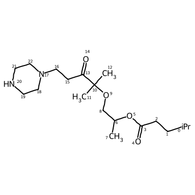 CC(C)CCC(=O)OC(C)COC(C)(C)C(=O)CCN1CCNCC1